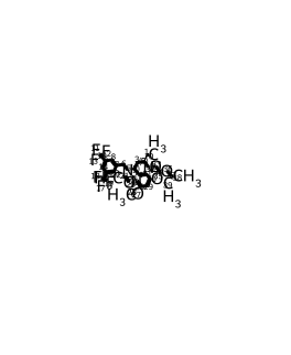 CC[C@@H]1C[C@H](N(Cc2cc(C(F)(F)F)cc(C(F)(F)F)c2)C(C)=O)c2nc(OC)ccc2N1OC(=O)OC(C)C